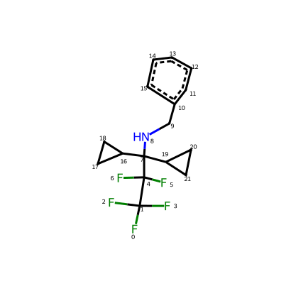 FC(F)(F)C(F)(F)C(NCc1ccccc1)(C1CC1)C1CC1